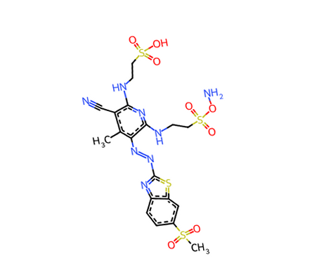 Cc1c(C#N)c(NCCS(=O)(=O)O)nc(NCCS(=O)(=O)ON)c1/N=N/c1nc2ccc(S(C)(=O)=O)cc2s1